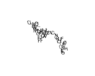 CO[C@@H](C)c1c(NC(=O)Nc2cc(C(F)(F)F)cnc2OCCN2CCC(CN3CCN(c4ccc(C5CCC(=C=O)NC5=C=O)cc4F)CC3)CC2)cnc2cc(Cl)nn12